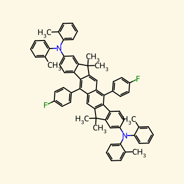 Cc1ccccc1N(c1ccc2c(c1)C(C)(C)c1cc3c(-c4ccc(F)cc4)c4c(cc3c(-c3ccc(F)cc3)c1-2)C(C)(C)c1cc(N(c2ccccc2C)c2ccccc2C)ccc1-4)c1ccccc1C